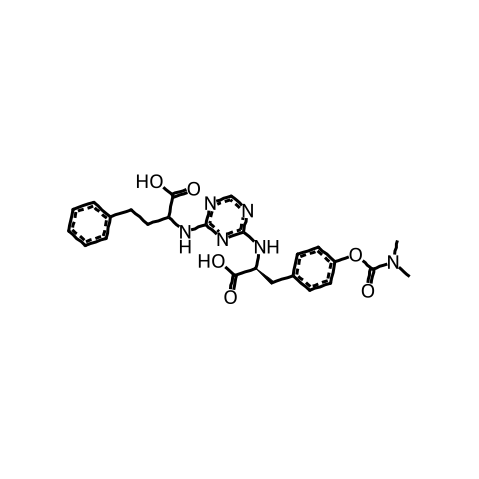 CN(C)C(=O)Oc1ccc(C[C@H](Nc2ncnc(NC(CCc3ccccc3)C(=O)O)n2)C(=O)O)cc1